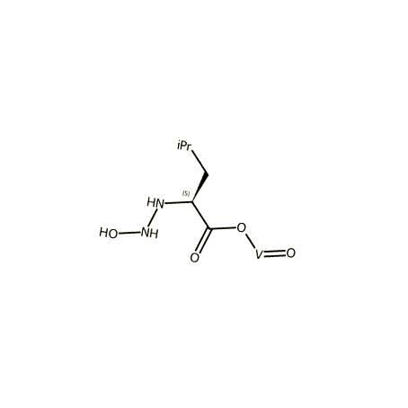 CC(C)C[C@H](NNO)C(=O)[O][V]=[O]